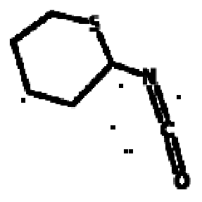 O=C=NC1CCCCS1